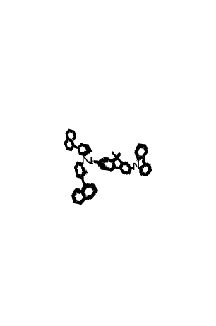 CC1(C)c2cc(N(c3cccc(-c4cccc5ccccc45)c3)c3cccc(-c4cccc5ccccc45)c3)ccc2-c2ccc(-n3c4ccccc4c4ccccc43)cc21